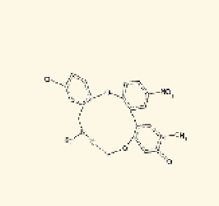 CCN1CCOc2cc(=O)n(C)cc2-c2cc([N+](=O)[O-])ccc2Oc2ccc(Cl)cc2C1